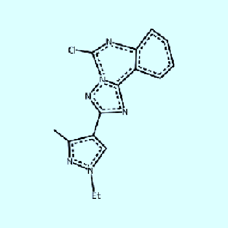 CCn1cc(-c2nc3c4ccccc4nc(Cl)n3n2)c(C)n1